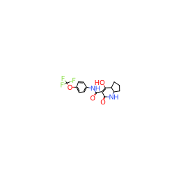 O=C(Nc1ccc(OC(F)(F)F)cc1)C1=C(O)C2CCCC2NC1=O